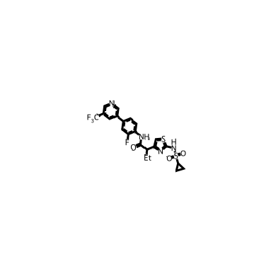 CCC(C(=O)Nc1ccc(-c2cncc(C(F)(F)F)c2)cc1F)c1csc(NS(=O)(=O)C2CC2)n1